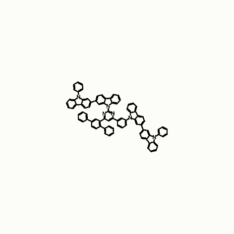 c1ccc(-c2ccc(-c3ccccc3)c(-c3cc(-c4cccc(-n5c6ccccc6c6ccc(-c7ccc8c9ccccc9n(-c9ccccc9)c8c7)cc65)c4)nc(-n4c5ccccc5c5ccc(-c6ccc7c8ccccc8n(-c8ccccc8)c7c6)cc54)n3)c2)cc1